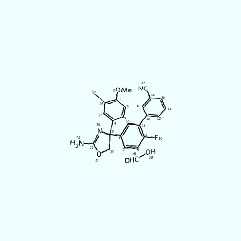 COc1ccc(C2(c3ccc(F)c(-c4cccc(C#N)c4)c3)COC(N)=N2)cc1C.O=CO